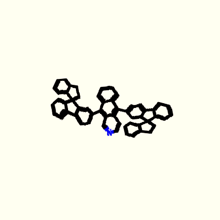 c1ccc2c(c1)CCC21c2ccccc2-c2ccc(-c3c4ccccc4c(-c4ccc5c(c4)C4(CCc6ccccc64)c4ccccc4-5)c4cnccc34)cc21